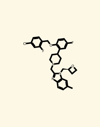 Cc1ccc2nc(CN3CCC(c4cc(F)ccc4OCc4ccc(Cl)cc4F)CC3)n(C[C@@H]3CCO3)c2c1